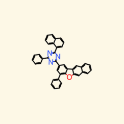 c1ccc(-c2nc(-c3cc(-c4ccccc4)c4oc5cc6ccccc6cc5c4c3)nc(-c3cccc4ccccc34)n2)cc1